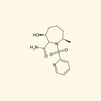 C[C@@H]1CC[CH][C@H](O)C(C(N)=O)N1S(=O)(=O)c1ccccn1